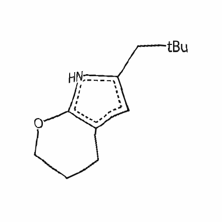 CC(C)(C)Cc1cc2c([nH]1)OCCC2